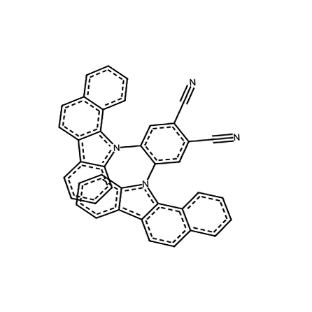 N#Cc1cc(-n2c3ccccc3c3ccc4ccccc4c32)c(-n2c3ccccc3c3ccc4ccccc4c32)cc1C#N